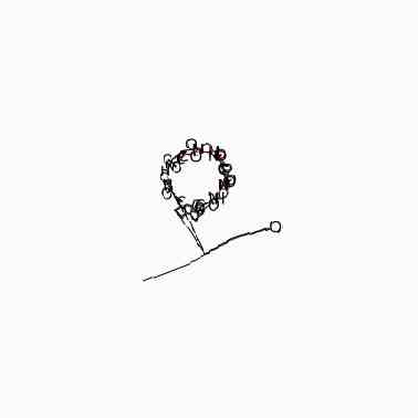 O=C1c2ccc3c4c5ccc(c24)C(=O)N1C[C@@H]1CCCC[C@H]1N1C(=O)c2ccc4c6ccc7c8c(ccc(c9ccc(c2c49)C1=O)c86)C(=O)N(C7=O)[C@@H]1CCCC[C@H]1N1C(=O)c2ccc4c6c(ccc(c26)C1=O)C(=O)N(C4=O)[C@@H]1CCCC[C@H]1N(C3=O)C5=O